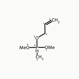 C=CCO[PH](C)(OC)OC